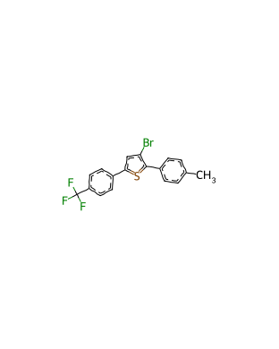 Cc1ccc(-c2sc(-c3ccc(C(F)(F)F)cc3)cc2Br)cc1